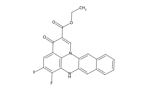 CCOC(=O)c1cn2c3c(c(F)c(F)cc3c1=O)Nc1cc3ccccc3cc1-2